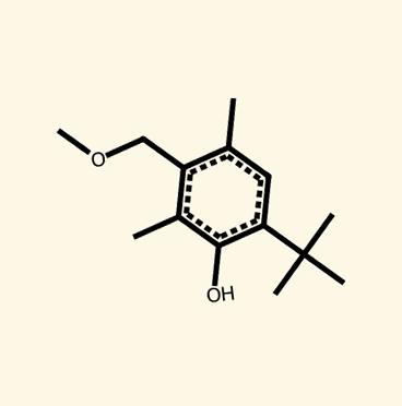 COCc1c(C)cc(C(C)(C)C)c(O)c1C